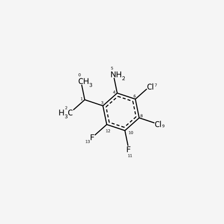 CC(C)c1c(N)c(Cl)c(Cl)c(F)c1F